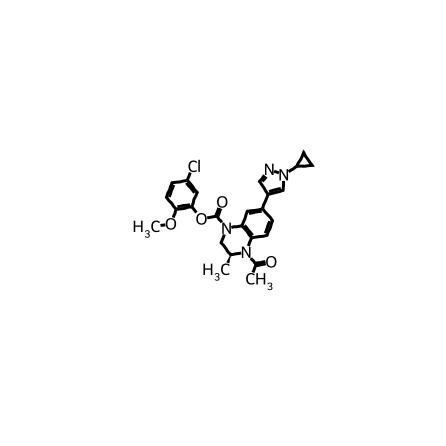 COc1ccc(Cl)cc1OC(=O)N1C[C@H](C)N(C(C)=O)c2ccc(-c3cnn(C4CC4)c3)cc21